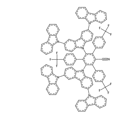 N#Cc1c(-c2ccc(C(F)(F)F)cc2)c(-n2c3ccc(-n4c5ccccc5c5ccccc54)cc3c3cc(-n4c5ccccc5c5ccccc54)ccc32)c(-c2ccc(C(F)(F)F)cc2)c(-n2c3ccc(-n4c5ccccc5c5ccccc54)cc3c3cc(-n4c5ccccc5c5ccccc54)ccc32)c1-c1ccc(C(F)(F)F)cc1